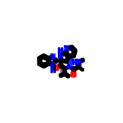 CN[C@@H](C)C(=O)N[C@H](C(=O)[C@@]1(c2nc3ccccc3[nH]2)Cc2cccnc2N1)C(C)C